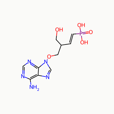 Nc1ncnc2c1ncn2OCC(C=CP(=O)(O)O)CO